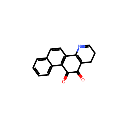 O=C1C(=O)c2c(ccc3ccccc23)C2=C1CCC=N2